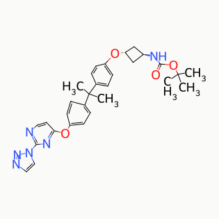 CC(C)(C)OC(=O)N[C@H]1C[C@H](Oc2ccc(C(C)(C)c3ccc(Oc4ccnc(-n5ccnn5)n4)cc3)cc2)C1